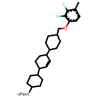 CCCCCC1CCC(C2C=CC(C3CCC(COc4ccc(C)c(F)c4F)CC3)CC2)CC1